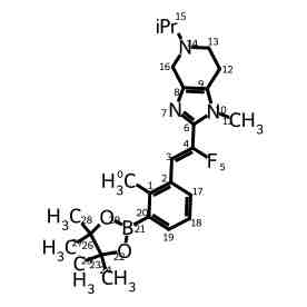 Cc1c(/C=C(\F)c2nc3c(n2C)CCN(C(C)C)C3)cccc1B1OC(C)(C)C(C)(C)O1